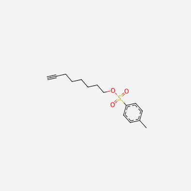 C#CCCCCCCOS(=O)(=O)c1ccc(C)cc1